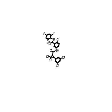 O=C(Nc1c(F)cc(F)cc1Br)c1cc(NC(=O)C2C(c3cc(Cl)cc(Cl)c3)C2(Cl)Cl)ccc1Cl